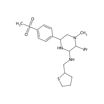 CC(C)C1C(NCC2CCCS2)NC(c2ccc(S(C)(=O)=O)cc2)CN1C